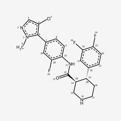 Cn1ncc(Cl)c1-c1ccc(NC(=O)[C@@H]2CNCC[C@H]2c2ccc(F)c(F)c2)c(F)c1